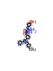 CC(C)(C)c1ccc(Cn2nc(-c3cccnc3)cc2-c2cccc(C(=O)NC(=O)C(N)Cc3ccc(O)cc3)c2)cc1